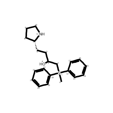 CS(CC(O)CC[C@@H]1CCCN1)(c1ccccc1)c1ccccc1